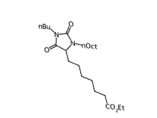 CCCCCCCCN1C(=O)N(CCCC)C(=O)C1CCCCCCC(=O)OCC